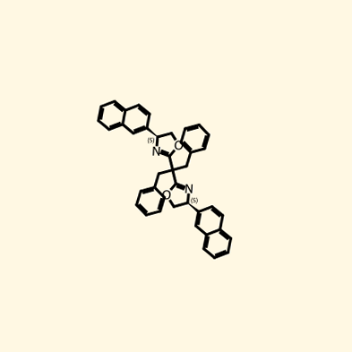 c1ccc(CC(Cc2ccccc2)(C2=N[C@@H](c3ccc4ccccc4c3)CO2)C2=N[C@@H](c3ccc4ccccc4c3)CO2)cc1